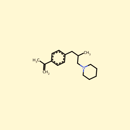 C=C(C)c1ccc(CC(C)CN2CCCCC2)cc1